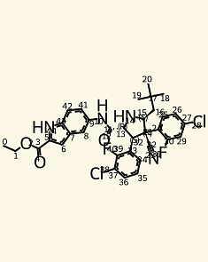 CCOC(=O)c1cc2cc(NC(=O)[C@@H]3N[C@@H](CC(C)(C)C)[C@](C#N)(c4ccc(Cl)cc4F)[C@H]3c3cccc(Cl)c3F)ccc2[nH]1